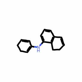 C1=CC(Nc2cccc3c2CCC=C3)=CCC1